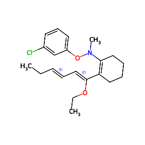 CC/C=C/C=C(\OCC)C1=C(N(C)Oc2cccc(Cl)c2)CCCC1